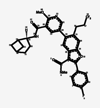 CNC(=O)c1c(-c2ccc(F)cc2)oc2cc(CCC(F)(F)F)c(-c3cnc(OC)c(C(=O)N[C@H]4CCC5CC4C5)c3)cc12